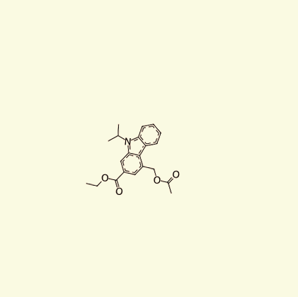 CCOC(=O)c1cc(COC(C)=O)c2c3ccccc3n(C(C)C)c2c1